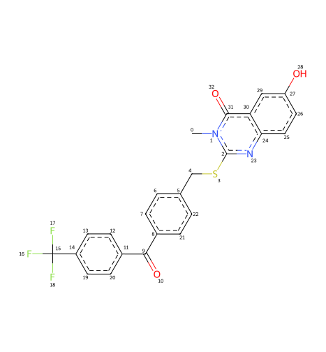 Cn1c(SCc2ccc(C(=O)c3ccc(C(F)(F)F)cc3)cc2)nc2ccc(O)cc2c1=O